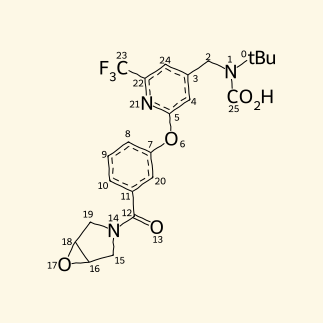 CC(C)(C)N(Cc1cc(Oc2cccc(C(=O)N3CC4OC4C3)c2)nc(C(F)(F)F)c1)C(=O)O